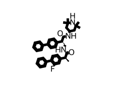 C[C@H](C(=O)NC[C@@H](C(=O)NC1CC(C)(C)NC(C)(C)C1)c1ccc(-c2ccccc2)cc1)c1ccc(-c2ccccc2)c(F)c1